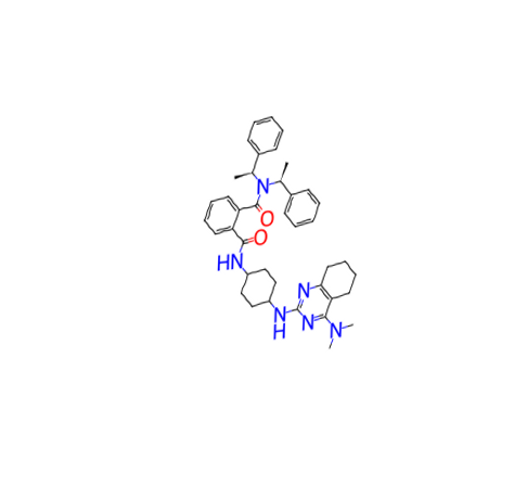 C[C@@H](c1ccccc1)N(C(=O)c1ccccc1C(=O)NC1CCC(Nc2nc3c(c(N(C)C)n2)CCCC3)CC1)[C@@H](C)c1ccccc1